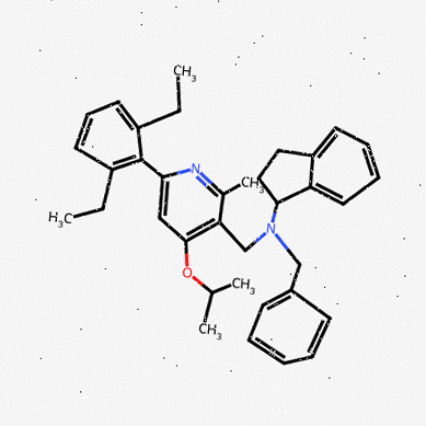 CCc1cccc(CC)c1-c1cc(OC(C)C)c(CN(Cc2ccccc2)C2CCc3ccccc32)c(C)n1